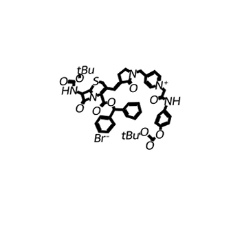 CC(C)(C)OC(=O)NC1C(=O)N2C(C(=O)OC(c3ccccc3)c3ccccc3)=C(C=C3CCN(Cc4cc[n+](CC(=O)Nc5ccc(OC(=O)OC(C)(C)C)cc5)cc4)C3=O)CSC12.[Br-]